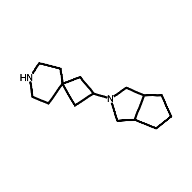 C1CC2CN(C3CC4(CCNCC4)C3)CC2C1